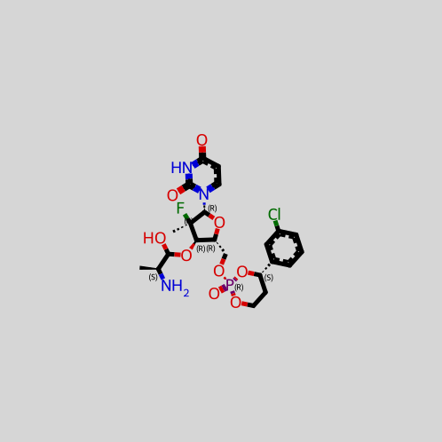 C[C@H](N)C(O)O[C@@H]1[C@@H](CO[P@@]2(=O)OCC[C@@H](c3cccc(Cl)c3)O2)O[C@@H](n2ccc(=O)[nH]c2=O)[C@]1(C)F